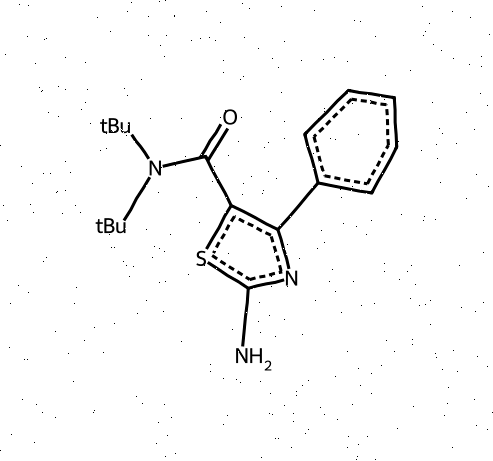 CC(C)(C)N(C(=O)c1sc(N)nc1-c1ccccc1)C(C)(C)C